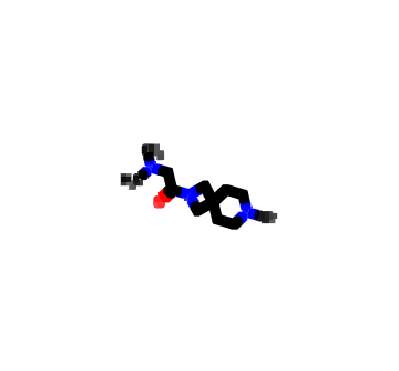 CC(C)N1CCC2(CC1)CN(C(=O)CN(C)C)C2